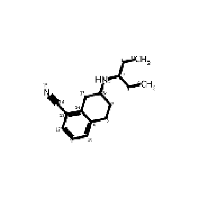 CCC(CC)NC1CCc2cccc(C#N)c2C1